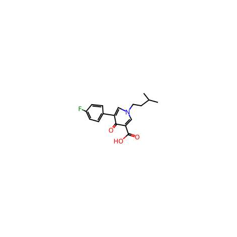 CC(C)CCn1cc(C(=O)O)c(=O)c(-c2ccc(F)cc2)c1